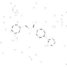 O=C(C=Cc1cccc(O)c1)c1ccc(-c2cccs2)cc1